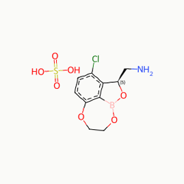 NC[C@H]1OB2OCCOc3ccc(Cl)c1c32.O=S(=O)(O)O